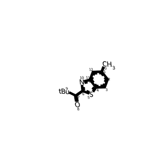 Cc1ccc2sc(C(=O)C(C)(C)C)nc2c1